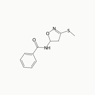 CSC1=NOC(NC(=O)c2ccccc2)C1